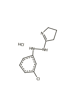 Cl.Clc1cccc(NNC2=NCCC2)c1